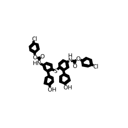 O=C(Nc1ccc(Sc2ccc(NC(=O)Oc3ccc(Cl)cc3)cc2-c2ccc(O)cc2)c(-c2ccc(O)cc2)c1)Oc1ccc(Cl)cc1